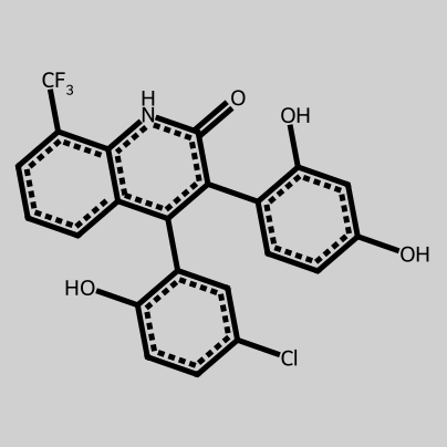 O=c1[nH]c2c(C(F)(F)F)cccc2c(-c2cc(Cl)ccc2O)c1-c1ccc(O)cc1O